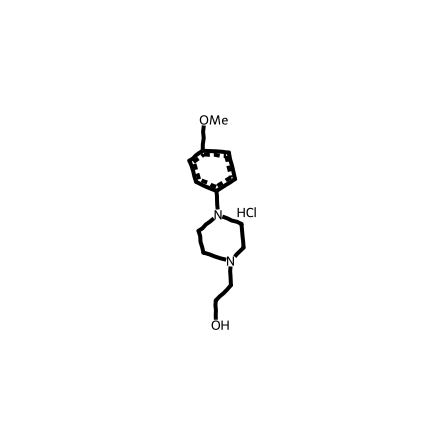 COc1ccc(N2CCN(CCO)CC2)cc1.Cl